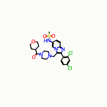 CS(=O)(=O)Nc1ccc2nc(-c3ccc(Cl)cc3Cl)c(CN3CCN(C(=O)C4CCOCC4)CC3)n2c1